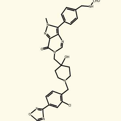 Cn1nc2c(=O)n(CC3(O)CCN(Cc4ccc(-c5ncon5)cc4Cl)CC3)cnc2c1-c1ccc(CNC=O)cc1